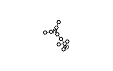 c1ccc(-c2ccc(N(c3ccc(-c4ccccc4)cc3)c3ccc(-c4ccc(-c5c(-c6ccccc6)c6c7ccccc7oc6c6ccccc56)cc4)cc3)cc2)cc1